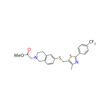 COC(=O)CN1CCc2cc(SCc3sc(-c4ccc(C(F)(F)F)cc4)nc3C)ccc2C1